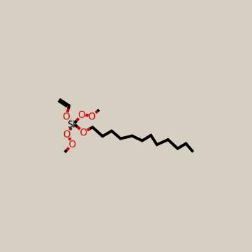 C=CO[Si](OCCCCCCCCCCCC)(OOC)OOC